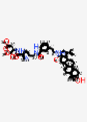 C=C(C)[C@@H]1CC[C@]2(C(=O)NCCc3cccc(C(=O)NCc4ccc(C(=O)N[C@H](CC(=O)OC)C(=O)OC)cn4)c3)CC[C@]3(C)C(CCC4[C@@]5(C)CC[C@H](O)C(C)(C)C5CC[C@]43C)C12